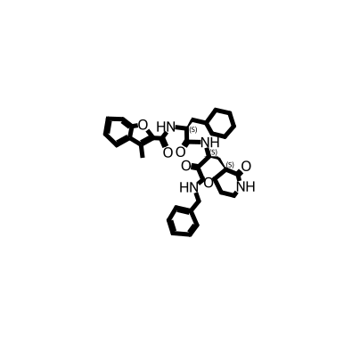 Cc1c(C(=O)N[C@@H](CC2CCCCC2)C(=O)N[C@@H](C[C@@H]2CCCNC2=O)C(=O)C(=O)NCc2ccccc2)oc2ccccc12